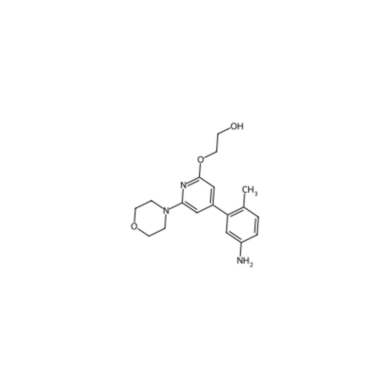 Cc1ccc(N)cc1-c1cc(OCCO)nc(N2CCOCC2)c1